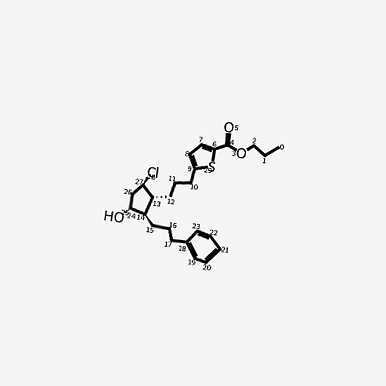 CCCOC(=O)c1ccc(CCC[C@@H]2[C@@H](CCCc3ccccc3)[C@H](O)C[C@H]2Cl)s1